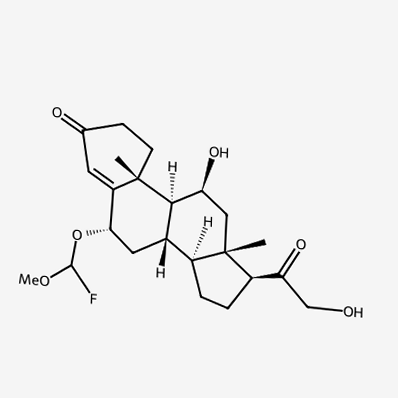 COC(F)O[C@H]1C[C@@H]2[C@H]([C@@H](O)C[C@]3(C)[C@@H](C(=O)CO)CC[C@@H]23)[C@@]2(C)CCC(=O)C=C12